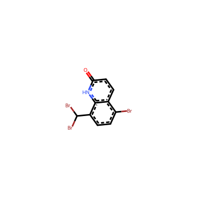 O=c1ccc2c(Br)ccc(C(Br)Br)c2[nH]1